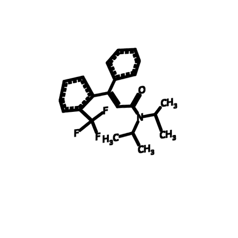 CC(C)N(C(=O)/C=C(\c1ccccc1)c1ccccc1C(F)(F)F)C(C)C